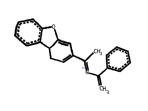 C=C(/N=C(\C)C1=CCC2C(=C1)Oc1ccccc12)c1ccccc1